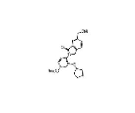 COc1ccc(N2Cc3ccc(CO)cc3C2=O)c(OC2CCCC2)c1